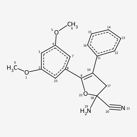 COc1cc(OC)cc(C2=C(c3ccccc3)CC(N)(C#N)O2)c1